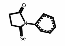 O=C1CCC(=[Se])N1c1ccccc1